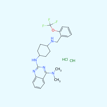 CN(C)c1nc(NC2CCC(NCc3ccccc3OC(F)(F)F)CC2)nc2ccccc12.Cl.Cl